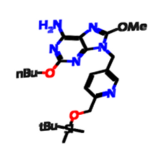 CCCCOc1nc(N)c2nc(OC)n(Cc3ccc(CO[Si](C)(C)C(C)(C)C)nc3)c2n1